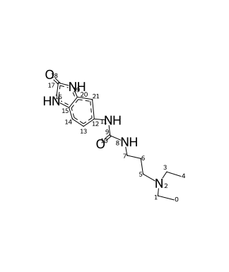 CCN(CC)CCCNC(=O)Nc1ccc2[nH]c(=O)[nH]c2c1